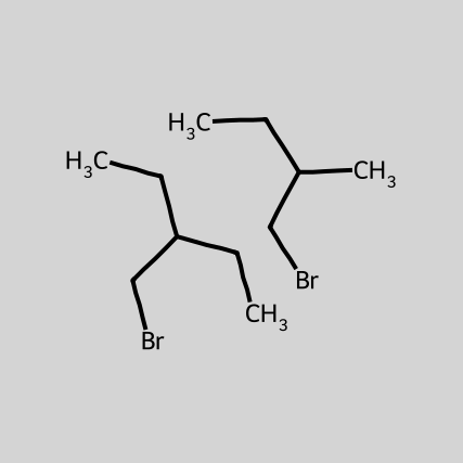 CCC(C)CBr.CCC(CC)CBr